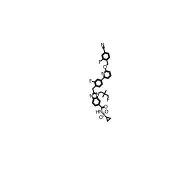 CC(C)(CF)Cn1c(Cc2ccc(-c3cccc(OCc4ccc(C#N)cc4F)n3)cc2F)nc2ccc(C(=O)NS(=O)(=O)C3CC3)cc21